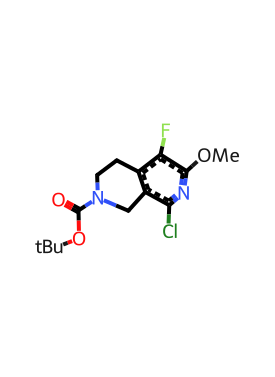 COc1nc(Cl)c2c(c1F)CCN(C(=O)OC(C)(C)C)C2